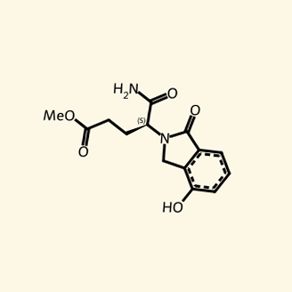 COC(=O)CC[C@@H](C(N)=O)N1Cc2c(O)cccc2C1=O